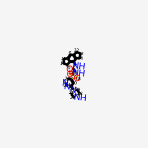 O=C(Nc1c2c(cc3c1CCC3)CCC2)NS(=O)(=O)c1cnnc(N2CCNCC2)c1